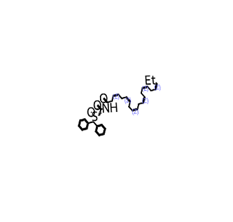 CC/C=C\C/C=C\C/C=C\C/C=C\C/C=C\C/C=C\CC(=O)NC(=O)C[S+]([O-])C(c1ccccc1)c1ccccc1